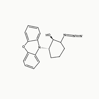 [N-]=[N+]=NC1CCC[C@H](N2c3ccccc3Oc3ccccc32)[C@H]1O